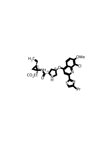 C=C[C@@H]1C[C@]1(NC(=O)[C@@H]1C[C@@H](Oc2cc(-c3nc(C(C)C)cs3)nc3c(Cl)c(OC)ccc23)CN1)C(=O)OCC